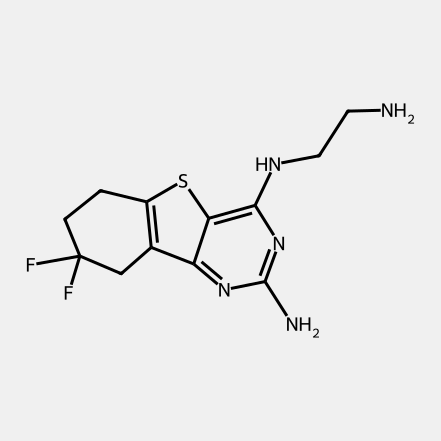 NCCNc1nc(N)nc2c3c(sc12)CCC(F)(F)C3